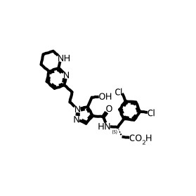 O=C(O)C[C@H](NC(=O)c1cnn(CCc2ccc3c(n2)NCCC3)c1CO)c1cc(Cl)cc(Cl)c1